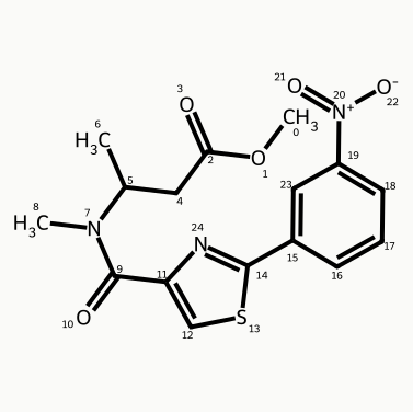 COC(=O)CC(C)N(C)C(=O)c1csc(-c2cccc([N+](=O)[O-])c2)n1